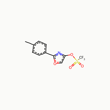 Cc1ccc(-c2nc(OS(=O)(=O)C(F)(F)F)co2)cc1